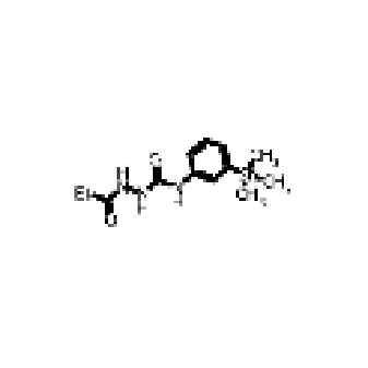 CCC(=O)NNC(=O)Nc1ccc[c]([Sn]([CH3])([CH3])[CH3])c1